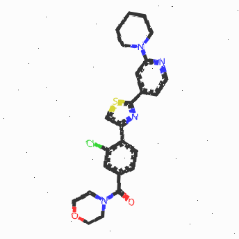 O=C(c1ccc(-c2csc(-c3ccnc(N4CCCCC4)c3)n2)c(Cl)c1)N1CCOCC1